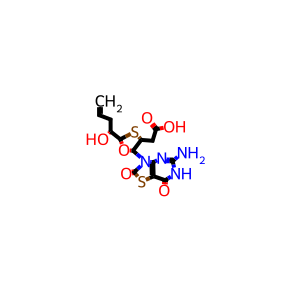 C=CCC(O)C1OC(n2c(=O)sc3c(=O)[nH]c(N)nc32)C(CC(=O)O)S1